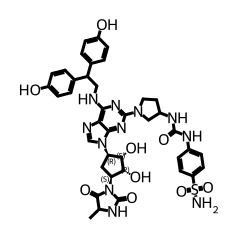 CC1NC(=O)N([C@H]2C[C@@H](n3cnc4c(NCC(c5ccc(O)cc5)c5ccc(O)cc5)nc(N5CCC(NC(=O)Nc6ccc(S(N)(=O)=O)cc6)C5)nc43)[C@H](O)[C@@H]2O)C1=O